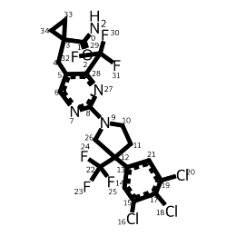 NC(=O)C1(Cc2cnc(N3CCC(c4cc(Cl)c(Cl)c(Cl)c4)(C(F)(F)F)C3)nc2C(F)(F)F)CC1